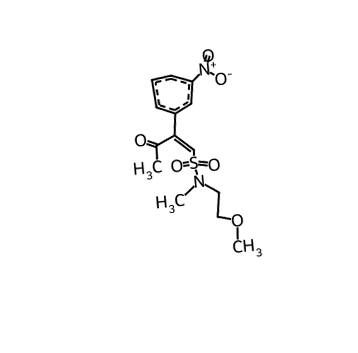 COCCN(C)S(=O)(=O)C=C(C(C)=O)c1cccc([N+](=O)[O-])c1